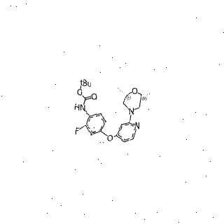 C[C@@H]1CN(c2cc(Oc3ccc(NC(=O)OC(C)(C)C)c(F)c3)ccn2)C[C@H](C)O1